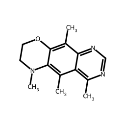 Cc1c2c(c(C)c3c(C)ncnc13)N(C)CCO2